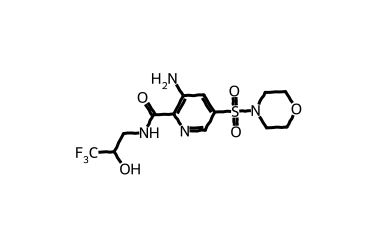 Nc1cc(S(=O)(=O)N2CCOCC2)cnc1C(=O)NCC(O)C(F)(F)F